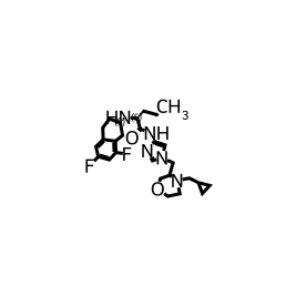 CCC[C@H](N[C@H]1CCc2cc(F)cc(F)c2C1)C(=O)Nc1cn(CC2COCCN2CC2CC2)cn1